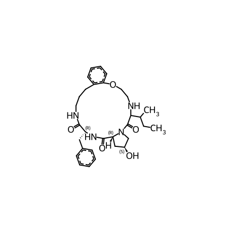 CCC(C)C1NCCOc2ccccc2CCCNC(=O)[C@@H](Cc2ccccc2)NC(=O)[C@H]2C[C@H](O)CN2C1=O